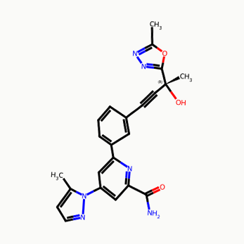 Cc1nnc([C@](C)(O)C#Cc2cccc(-c3cc(-n4nccc4C)cc(C(N)=O)n3)c2)o1